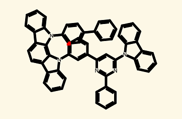 c1ccc(-c2ccc(-n3c4ccccc4c4ccc5c6ccccc6n(-c6cccc(-c7cc(-n8c9ccccc9c9ccccc98)nc(-c8ccccc8)n7)c6)c5c43)cc2)cc1